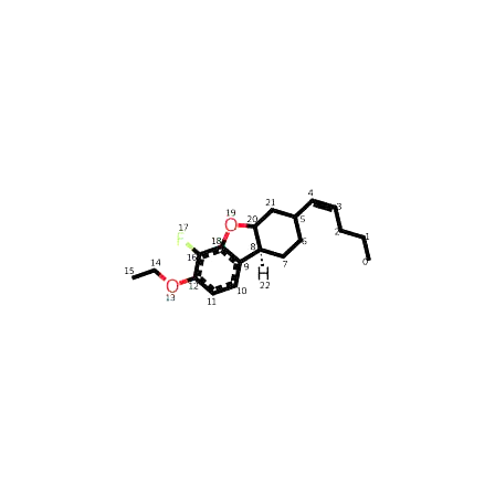 CCC/C=C\C1CC[C@H]2c3ccc(OCC)c(F)c3OC2C1